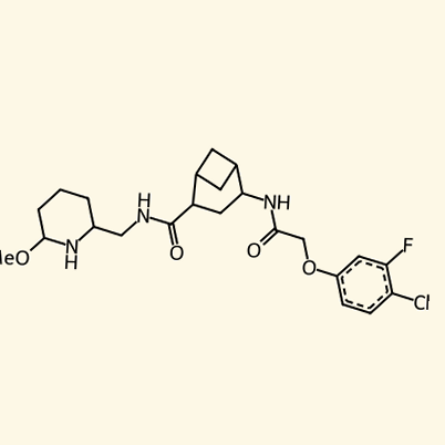 COC1CCCC(CNC(=O)C2CC(NC(=O)COc3ccc(Cl)c(F)c3)C3CC2C3)N1